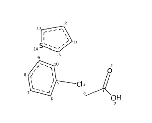 CC(=O)O.Clc1ccccc1.c1ccsc1